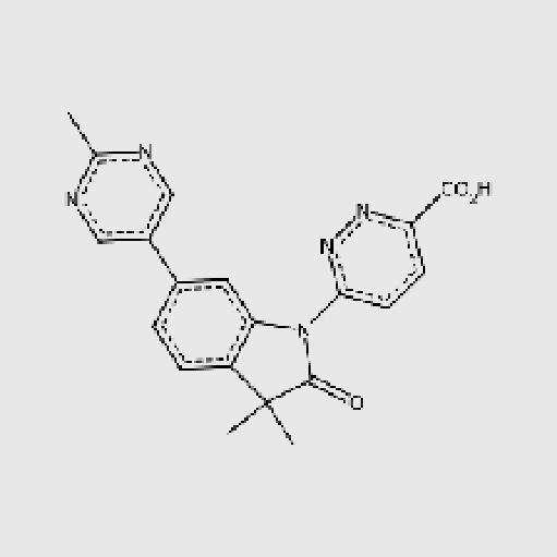 Cc1ncc(-c2ccc3c(c2)N(c2ccc(C(=O)O)nn2)C(=O)C3(C)C)cn1